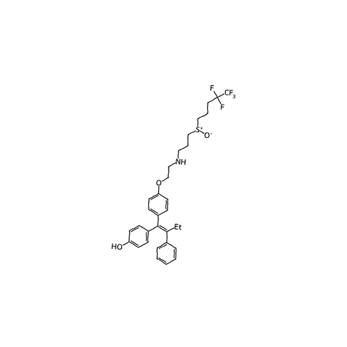 CCC(=C(c1ccc(O)cc1)c1ccc(OCCNCCC[S+]([O-])CCCC(F)(F)C(F)(F)F)cc1)c1ccccc1